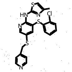 Cc1csc(Nc2ncc(SCc3ccncc3)cc2Sc2ccccc2Cl)n1